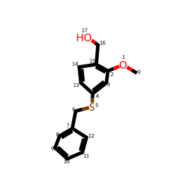 COc1cc(SCc2ccccc2)ccc1CO